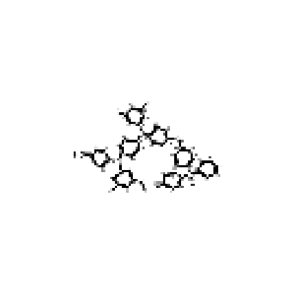 CCc1cc(C)cc(N(c2ccc(O)cc2)c2ccc(N(c3ccc(Oc4ccc(P(=O)(c5ccccc5)c5ccc(C)cc5)cc4)cc3)c3cc(C)cc(C)c3)cc2)c1